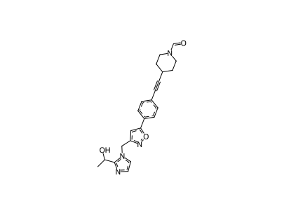 CC(O)c1nccn1Cc1cc(-c2ccc(C#CC3CCN(C=O)CC3)cc2)on1